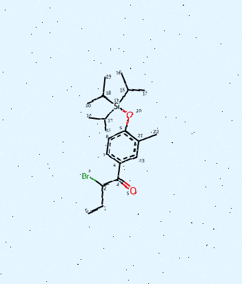 CCC(Br)C(=O)c1ccc(O[Si](C(C)C)(C(C)C)C(C)C)c(C)c1